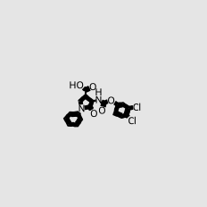 O=C(N[C@H]1C(=O)N(c2ccccc2)C[C@H]1C(=O)O)Oc1ccc(Cl)c(Cl)c1